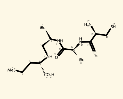 CC[C@H](C)[C@H](CN[C@@H](CCSC)C(=O)O)NC(=O)[C@@H](NC(=O)[C@@H](N)CS)[C@@H](C)CC